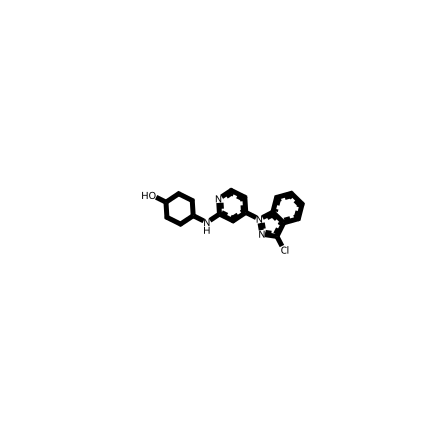 OC1CCC(Nc2cc(-n3nc(Cl)c4ccccc43)ccn2)CC1